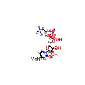 CNc1ccn([C@@H]2O[C@H](COP(=O)(O)OP(=O)(O)OCC[N+](C)(C)C)C(O)C2O)c(=O)n1